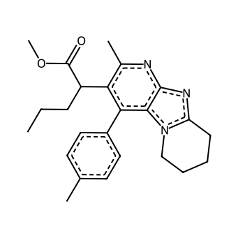 CCCC(C(=O)OC)c1c(C)nc2nc3n(c2c1-c1ccc(C)cc1)CCCC3